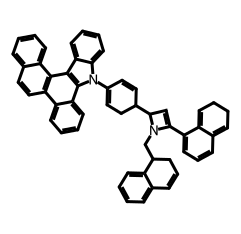 C1=Cc2ccccc2C(CN2C(c3cccc4c3=CCCC=4)=CC2C2C=CC(n3c4ccccc4c4c5c6ccccc6ccc5c5ccccc5c43)=CC2)C1